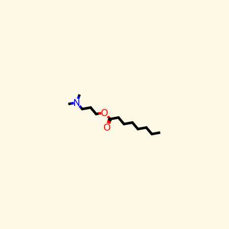 CCCCCCCC(=O)OCCCN(C)C